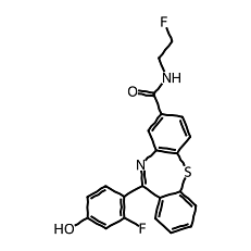 O=C(NCCF)c1ccc2c(c1)N=C(c1ccc(O)cc1F)c1ccccc1S2